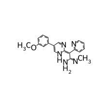 C/N=C(N)\C(=C1\N=CC(c2cccc(OC)c2)=CN1)c1ccccn1